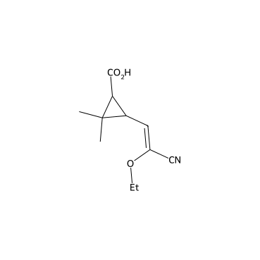 CCOC(C#N)=CC1C(C(=O)O)C1(C)C